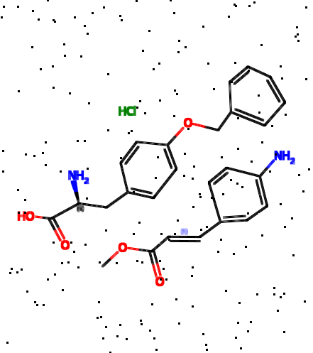 COC(=O)/C=C/c1ccc(N)cc1.Cl.N[C@@H](Cc1ccc(OCc2ccccc2)cc1)C(=O)O